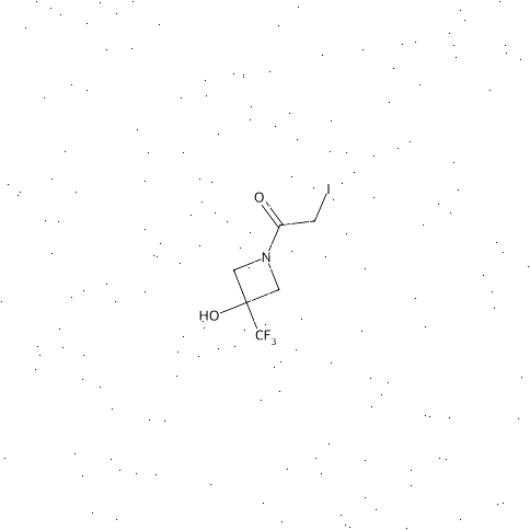 O=C(CI)N1CC(O)(C(F)(F)F)C1